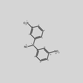 N#CN(c1cccc([N+](=O)[O-])c1)c1cccc([N+](=O)[O-])c1